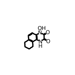 O=c1[nH]c2c3c(ccc2n(O)c1=O)CCCC3